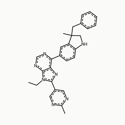 CCn1c(-c2cnc(C)nc2)nc2c(-c3ccc4c(c3)C(C)(Cc3ccccc3)CN4)ncnc21